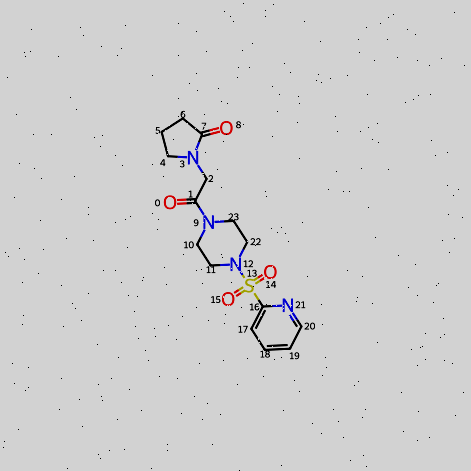 O=C(CN1CCCC1=O)N1CCN(S(=O)(=O)c2ccccn2)CC1